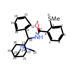 CSc1ccccc1C(=O)NC(c1ccccc1)C12CCC(CC1)CN2C